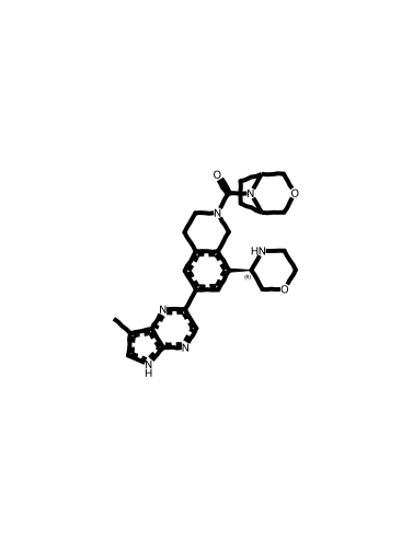 Cc1c[nH]c2ncc(-c3cc4c(c([C@@H]5COCCN5)c3)CN(C(=O)N3C5CCC3COC5)CC4)nc12